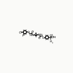 CC(O)(c1ccc(OCC(=O)NC23CC(NC(=O)COc4ccc(Cl)c(F)c4)(C2)C3)cc1)C(F)(F)F